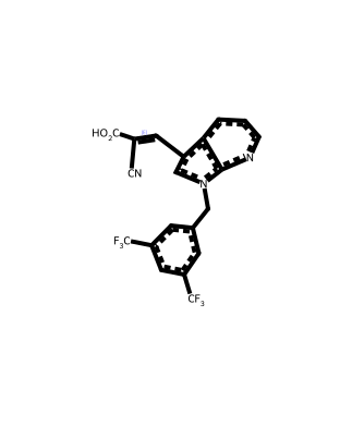 N#C/C(=C\c1cn(Cc2cc(C(F)(F)F)cc(C(F)(F)F)c2)c2ncccc12)C(=O)O